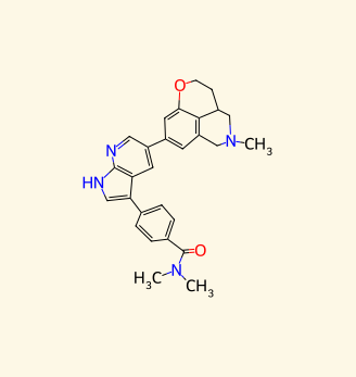 CN1Cc2cc(-c3cnc4[nH]cc(-c5ccc(C(=O)N(C)C)cc5)c4c3)cc3c2C(CCO3)C1